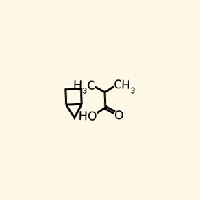 C1CC2CC12.CC(C)C(=O)O